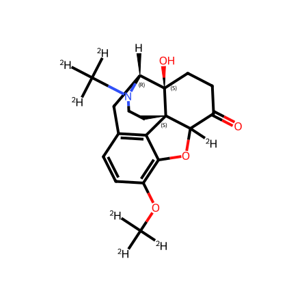 [2H]C([2H])([2H])Oc1ccc2c3c1OC1([2H])C(=O)CC[C@@]4(O)[C@@H](C2)N(C([2H])([2H])[2H])CC[C@]314